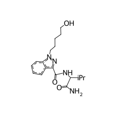 CC(C)C(NC(=O)c1nn(CCCCCO)c2ccccc12)C(N)=O